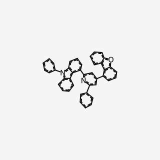 c1ccc(-c2cc(-c3cccc4oc5ccccc5c34)cc(-c3cccc4c3c3ccccc3n4-c3ccccc3)n2)cc1